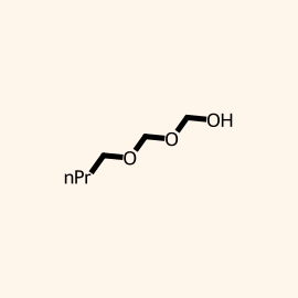 CCCCOCOCO